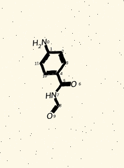 Nc1ccc(C(=O)N[C]=O)cc1